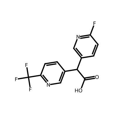 O=C(O)C(c1ccc(F)nc1)c1ccc(C(F)(F)F)nc1